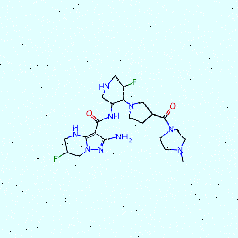 CN1CCN(C(=O)C2CCN(C3C(F)CNCC3NC(=O)c3c(N)nn4c3NCC(F)C4)C2)CC1